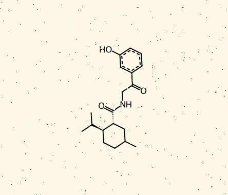 CC1CC[C@@H](C(C)C)[C@H](C(=O)NCC(=O)c2cccc(O)c2)C1